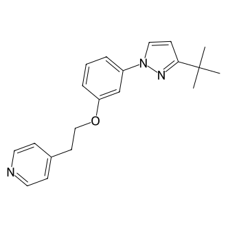 CC(C)(C)c1ccn(-c2cccc(OCCc3ccncc3)c2)n1